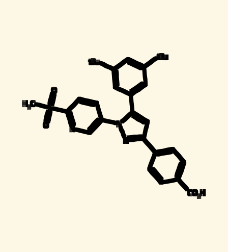 CC(C)(C)c1cc(-c2cc(-c3ccc(C(=O)O)cc3)nn2-c2ccc(S(C)(=O)=O)nc2)cc(C(C)(C)C)c1